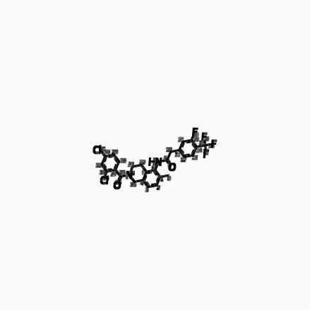 Cc1ccc2c(c1NC(=O)Cc1ccc(C(F)(F)F)c(F)c1)CCN(C(=O)c1ccc(Cl)cc1Cl)C2